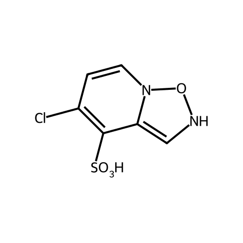 O=S(=O)(O)C1=C(Cl)C=CN2ONC=C12